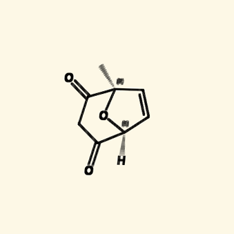 C[C@]12C=C[C@H](O1)C(=O)CC2=O